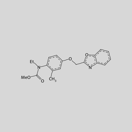 CCN(C(=O)OC)c1ccc(OCc2nc3ccccc3o2)cc1C